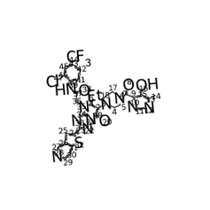 CCc1c(N2CCN(C(=O)c3ncnc(C)c3O)CC2)c(=O)n2nc(-c3cc4cnccc4s3)nc2n1CC(=O)Nc1ccc(C(F)(F)F)cc1Cl